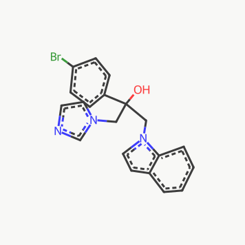 OC(Cn1ccnc1)(Cn1ccc2ccccc21)c1ccc(Br)cc1